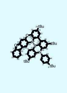 CC(C)(C)c1ccc(N2c3cc(C(C)(C)C)ccc3B3c4c(cc(C(C)(C)C)cc42)-c2cc(C(C)(C)C)cc4c2N3c2cc3c(cc2O4)oc2ccccc23)cc1